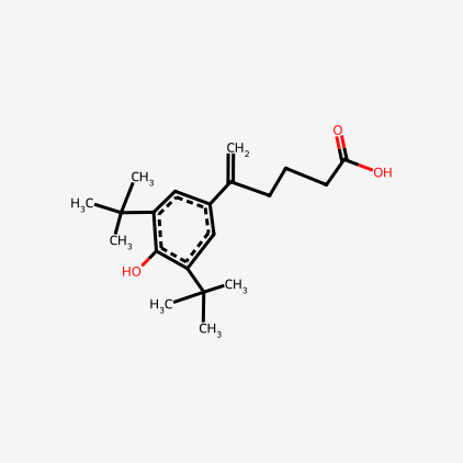 C=C(CCCC(=O)O)c1cc(C(C)(C)C)c(O)c(C(C)(C)C)c1